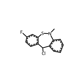 CN1Sc2cc(F)ccc2C(Cl)c2ccccc21